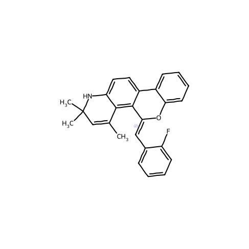 CC1=CC(C)(C)Nc2ccc3c(c21)/C(=C/c1ccccc1F)Oc1ccccc1-3